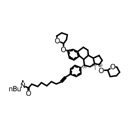 CCCCN(C)C(=O)CCCCCCC#Cc1ccc([C@H]2C[C@@]3(C)C(CC[C@@H]3OC3CCCCO3)C3CCc4cc(OC5CCCCO5)ccc4C32)cc1